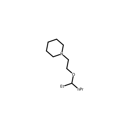 CCCC(CC)OCCN1CCCCC1